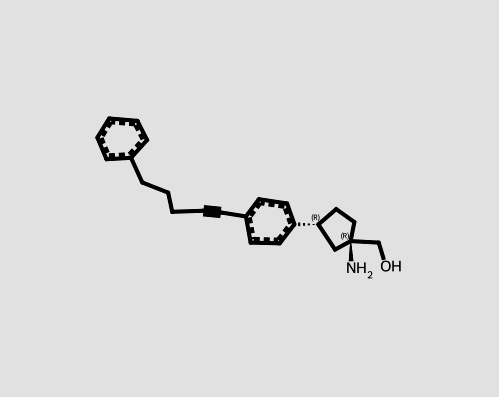 N[C@]1(CO)CC[C@@H](c2ccc(C#CCCCc3ccccc3)cc2)C1